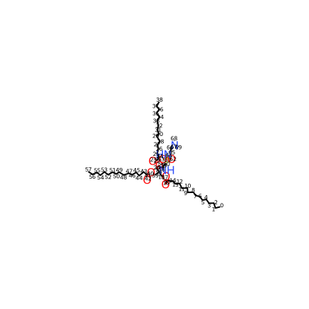 CCCCCCCCCCCCCCCC(=O)OCC(COC(=O)CCCCCCCCCCCCCCC)(COC(=O)CCCCCCCCCCCCCCC)NCCS(=O)(=O)NCCN(C)C